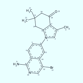 Cc1cn(-c2ccc3c(N)ncc(Br)c3c2)c2c1C(=O)CC(C)(C)C2